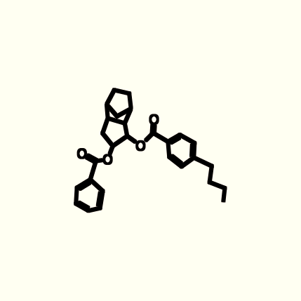 CCCCc1ccc(C(=O)OC2C(OC(=O)c3ccccc3)CC3C4CCC(C4)C32)cc1